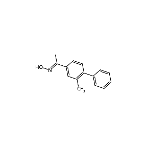 CC(=NO)c1ccc(-c2ccccc2)c(C(F)(F)F)c1